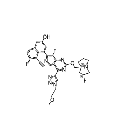 C#Cc1c(F)ccc2cc(O)cc(-c3ncc4c(-c5cn(CCOC)nn5)nc(OC[C@@]56CCCN5C[C@H](F)C6)nc4c3F)c12